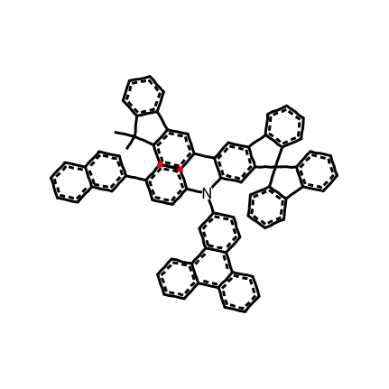 CC1(C)c2ccccc2-c2cc(-c3cc4c(cc3N(c3ccc(-c5ccc6ccccc6c5)cc3)c3ccc5c6ccccc6c6ccccc6c5c3)C3(c5ccccc5-c5ccccc53)c3ccccc3-4)ccc21